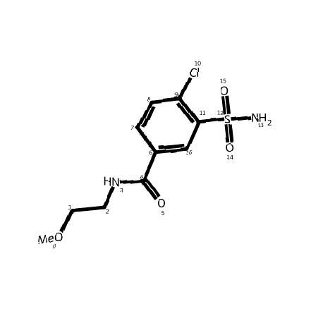 COCCNC(=O)c1ccc(Cl)c(S(N)(=O)=O)c1